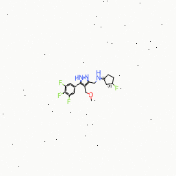 COCc1c(CN[C@H]2CC[C@@H](F)C2)n[nH]c1-c1cc(F)c(F)c(F)c1